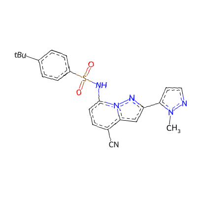 Cn1nccc1-c1cc2c(C#N)ccc(NS(=O)(=O)c3ccc(C(C)(C)C)cc3)n2n1